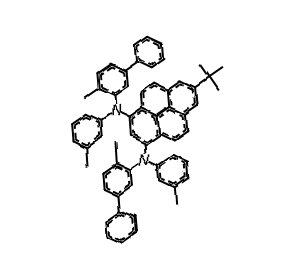 Cc1cccc(N(c2cc(-c3ccccc3)ccc2C)c2cc(N(c3cccc(C)c3)c3cc(-c4ccccc4)ccc3C)c3ccc4cc(C(C)(C)C)cc5ccc2c3c54)c1